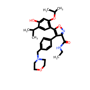 CCNC(=O)c1noc(-c2cc(C(C)C)c(O)cc2OC(C)C)c1-c1ccc(CN2CCOCC2)cc1